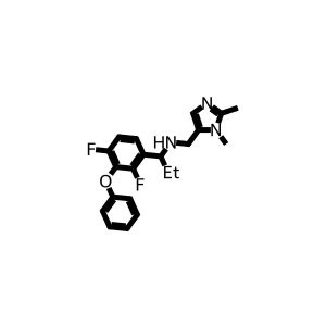 CCC(NCc1cnc(C)n1C)c1ccc(F)c(Oc2ccccc2)c1F